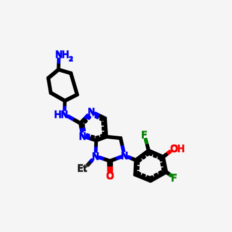 CCN1C(=O)N(c2ccc(F)c(O)c2F)Cc2cnc(NC3CCC(N)CC3)nc21